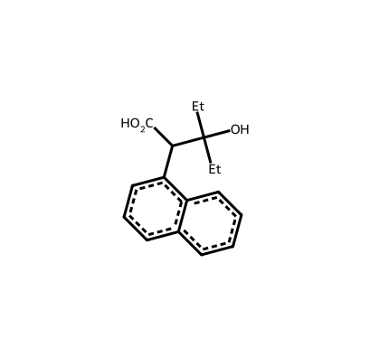 CCC(O)(CC)C(C(=O)O)c1cccc2ccccc12